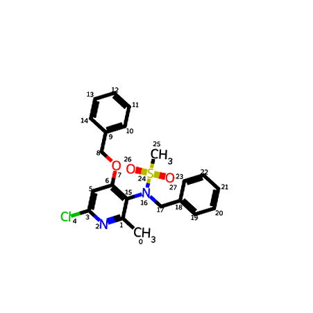 Cc1nc(Cl)cc(OCc2ccccc2)c1N(Cc1ccccc1)S(C)(=O)=O